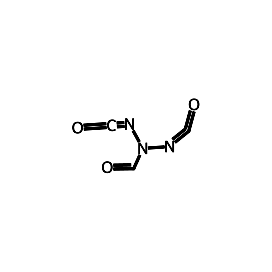 O=C=NN(C=O)N=C=O